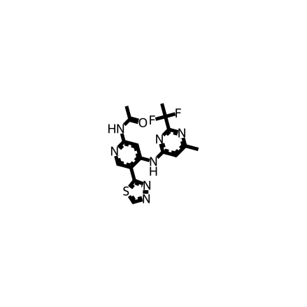 CC(=O)Nc1cc(Nc2cc(C)nc(C(C)(F)F)n2)c(-c2nncs2)cn1